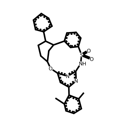 Cc1cccc(C)c1-c1cc2nc(n1)NS(=O)(=O)c1cccc(c1)C1CC(CCC1c1ccccc1)O2